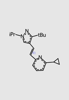 CC(C)n1cc(/C=C/c2cccc(C3CC3)n2)c(C(C)(C)C)n1